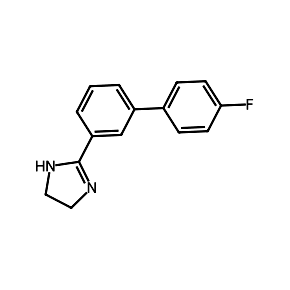 Fc1ccc(-c2cccc(C3=NCCN3)c2)cc1